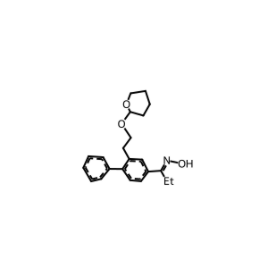 CCC(=NO)c1ccc(-c2ccccc2)c(CCOC2CCCCO2)c1